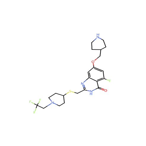 O=c1[nH]c(CSC2CCN(CC(F)(F)F)CC2)nc2cc(OCC3CCNCC3)cc(F)c12